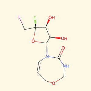 O=C1NCOC/C=C\N1[C@@H]1O[C@](F)(CI)[C@@H](O)[C@H]1O